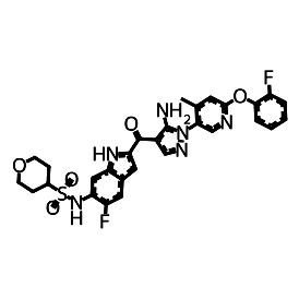 Cc1cc(Oc2ccccc2F)ncc1-n1ncc(C(=O)c2cc3cc(F)c(NS(=O)(=O)C4CCOCC4)cc3[nH]2)c1N